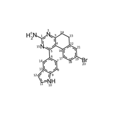 Nc1nc2c(c(-c3ccc4[nH]ccc4c3)n1)-c1ccc(Br)cc1CC2